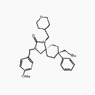 CCC(C)C[C@]1(c2ccccc2)CC[C@]2(CC1)CN(Cc1ccc(OC)cc1)C(=O)N2CC1CCOCC1